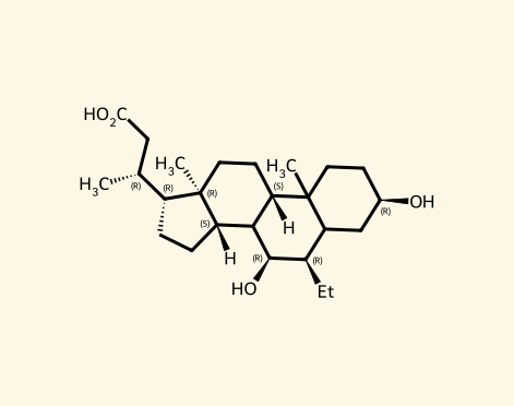 CC[C@@H]1C2C[C@H](O)CCC2(C)[C@H]2CC[C@]3(C)[C@@H]([C@H](C)CC(=O)O)CC[C@H]3C2[C@@H]1O